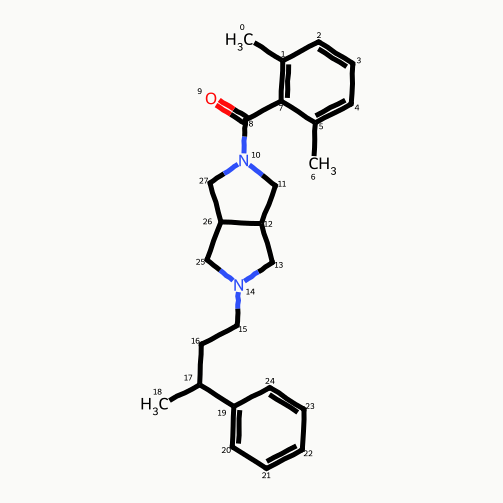 Cc1cccc(C)c1C(=O)N1CC2CN(CCC(C)c3ccccc3)CC2C1